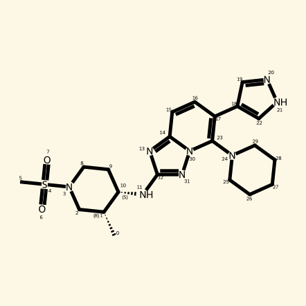 C[C@@H]1CN(S(C)(=O)=O)CC[C@@H]1Nc1nc2ccc(-c3cn[nH]c3)c(N3CCCCC3)n2n1